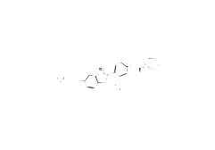 CCN1c2cc(OC)ccc2C(C#N)C1c1ccc(OC(=O)N2CCCC2)cc1